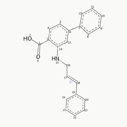 O=C(O)c1ccc(-c2ccccc2)cc1NC/C=C/c1ccccc1